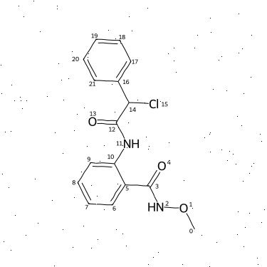 CONC(=O)c1ccccc1NC(=O)C(Cl)c1ccccc1